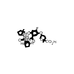 COc1cc(F)c(OC2CCC(C)(C(=O)O)CC2)cc1C(=O)N[C@@H]1[C@H]2CC[C@H](C2)[C@@H]1C(=O)N[C@H]1CCCC1(C)C